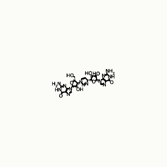 Nc1nc2c(ncn2[C@@H]2O[C@H](C3C=CN([C@H]4[C@@H](O)[C@H](n5cnc6c(=O)[nH]c(N)nc65)O[C@@H]4CO)N=N3)[C@@H](O)[C@H]2O)c(=O)[nH]1